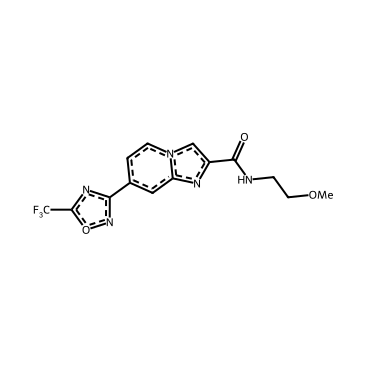 COCCNC(=O)c1cn2ccc(-c3noc(C(F)(F)F)n3)cc2n1